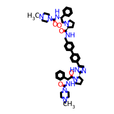 CN1CCN(C(=O)N[C@@H](C(=O)N2CCC[C@H]2C(=O)NCc2ccc(-c3ccc(-c4cnc([C@@H]5CCCN5C(=O)[C@H](NC(=O)N5CCN(C)CC5)c5ccccc5)[nH]4)cc3)cc2)c2ccccc2)CC1